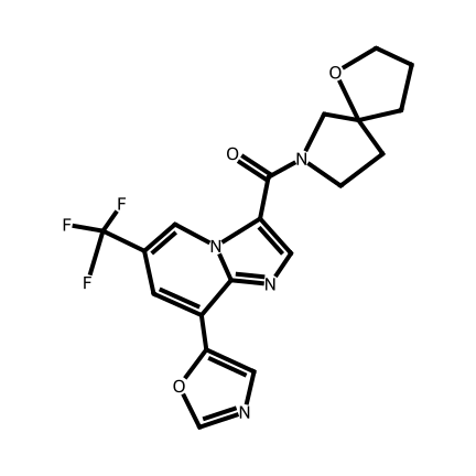 O=C(c1cnc2c(-c3cnco3)cc(C(F)(F)F)cn12)N1CCC2(CCCO2)C1